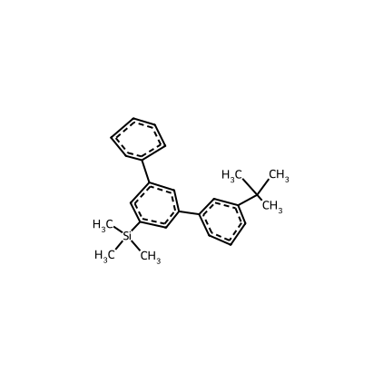 CC(C)(C)c1cccc(-c2cc(-c3ccccc3)cc([Si](C)(C)C)c2)c1